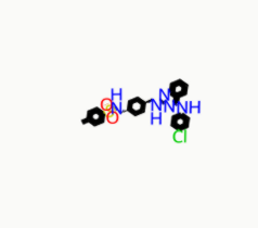 Cc1ccc(S(=O)(=O)NC[C@H]2CC[C@H](CNc3nc(Nc4ccc(Cl)cc4)c4ccccc4n3)CC2)cc1